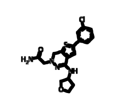 NC(=O)CN1Cc2sc(-c3cccc(Cl)c3)cc2C(NC2CCOC2)=N1